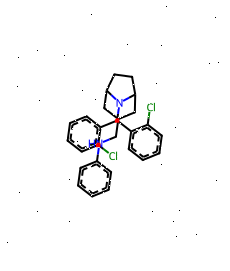 Clc1ccccc1C(c1ccccc1Cl)N1C2CCC1CC(CNc1ccccc1)C2